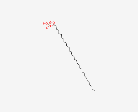 CCCCCCCCCCCCCCCCCCCCCCCCCCCCCCCC(=O)OS(=O)(=O)O